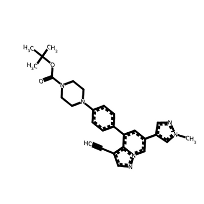 C#Cc1cnn2cc(-c3cnn(C)c3)cc(-c3ccc(N4CCN(C(=O)OC(C)(C)C)CC4)cc3)c12